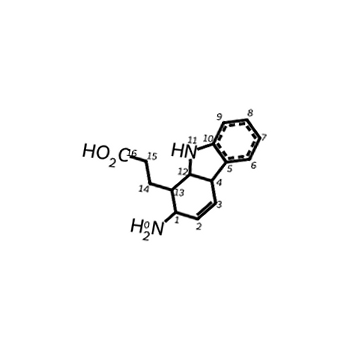 NC1C=CC2c3ccccc3NC2C1CCC(=O)O